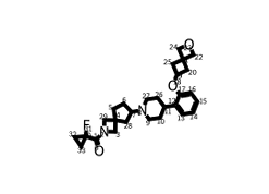 O=C(N1CC2(CCC(N3CCC(c4ccccc4OC4CC5(COC5)C4)CC3)C2)C1)C1(F)CC1